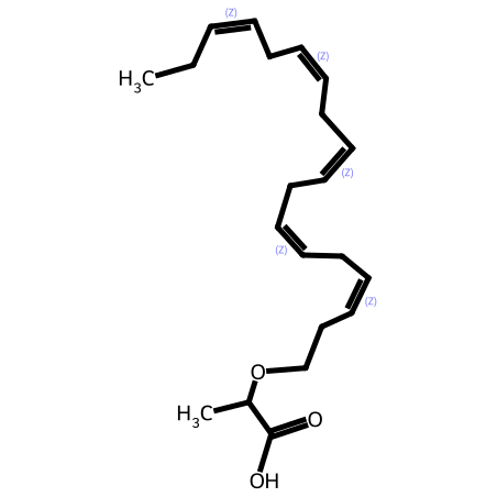 CC/C=C\C/C=C\C/C=C\C/C=C\C/C=C\CCOC(C)C(=O)O